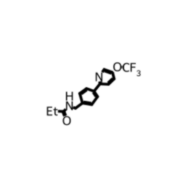 CCC(=O)NCc1ccc(-c2ccc(OC(F)(F)F)cn2)cc1